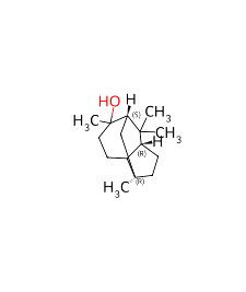 CC1(O)CCC2[C@H]3CC[C@]2(C)C[C@H]1C3(C)C